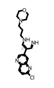 N=C/C(=C\NCCCN1CCOCC1)c1cnc2ccc(Cl)nc2c1